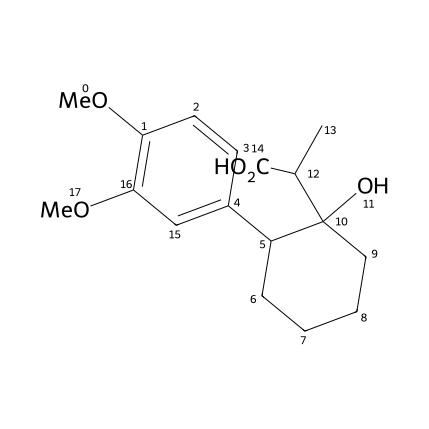 COc1ccc(C2CCCCC2(O)C(C)C(=O)O)cc1OC